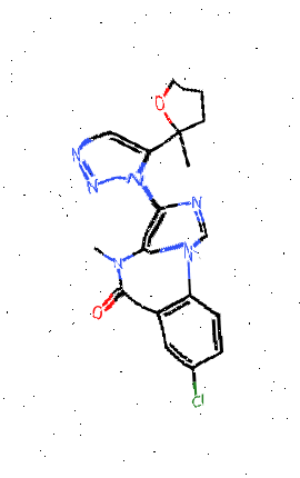 CN1C(=O)c2cc(Cl)ccc2[N+]2C=NC(n3nncc3C3(C)CCCO3)=C12